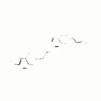 CCCc1c(OCCCOc2ccc3c(c2CCC)CC(C=CC(=O)O)CC3)ccc(C(C)=O)c1O